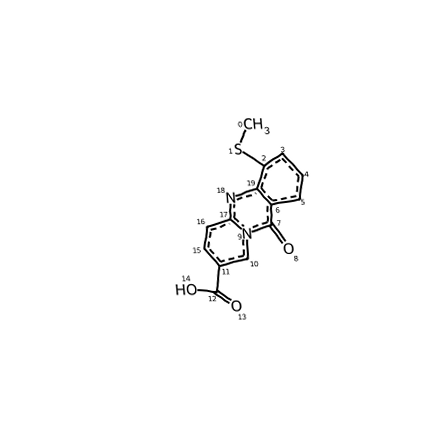 CSc1cccc2c(=O)n3cc(C(=O)O)ccc3nc12